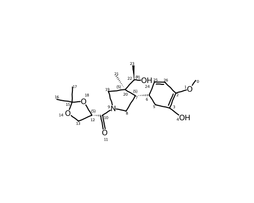 COC1=C(O)CC([C@@H]2CN(C(=O)[C@@H]3COC(C)(C)O3)C[C@@]2(C)[C@@H](C)O)C=C1